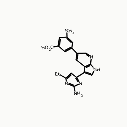 CCc1cc(-c2c[nH]c3ncc(-c4cc(N)cc(C(=O)O)c4)cc23)nc(N)n1